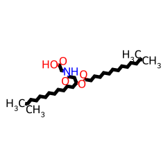 CC(C)CCCCCCCCCCCC(=O)OC(CCCCCCCCCCC(C)C)CC(=O)NCC(=O)O